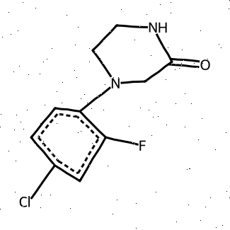 O=C1CN(c2ccc(Cl)cc2F)CCN1